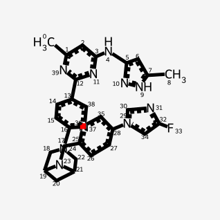 Cc1cc(Nc2cc(C)[nH]n2)nc(-c2ccc(N3CC4CC(C3)N4Cc3ccc(-n4cnc(F)c4)cn3)nc2)n1